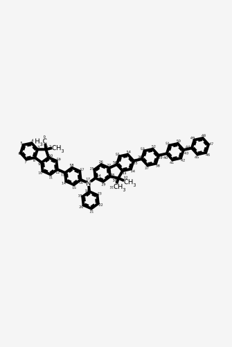 CC1(C)c2ccccc2-c2ccc(-c3ccc(N(c4ccccc4)c4ccc5c(c4)C(C)(C)c4cc(-c6ccc(-c7ccc(-c8ccccc8)cc7)cc6)ccc4-5)cc3)cc21